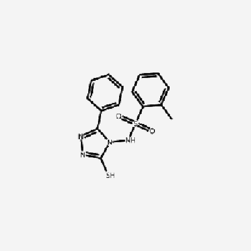 Cc1ccccc1S(=O)(=O)Nn1c(S)nnc1-c1ccccc1